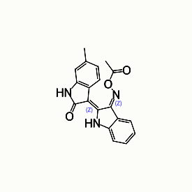 CC(=O)O/N=C1\C(=C2\C(=O)Nc3cc(C)ccc32)Nc2ccccc21